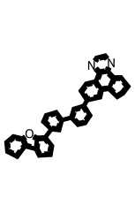 c1cc(-c2cccc(-c3cccc4c3oc3ccccc34)c2)cc(-c2ccc3c(c2)c2ccccc2c2nccnc32)c1